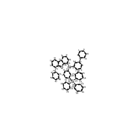 c1ccc(-c2cccc(N(c3cccc([Si](c4ccccc4)(c4ccccc4)c4ccccc4)c3)c3cccc4c3oc3c(-c5ccccc5)cccc34)c2)cc1